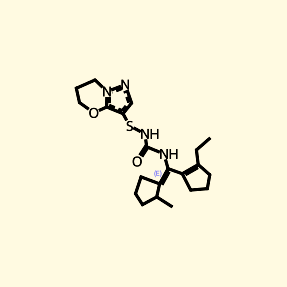 CCC1=C(/C(NC(=O)NSc2cnn3c2OCCC3)=C2/CCCC2C)CCC1